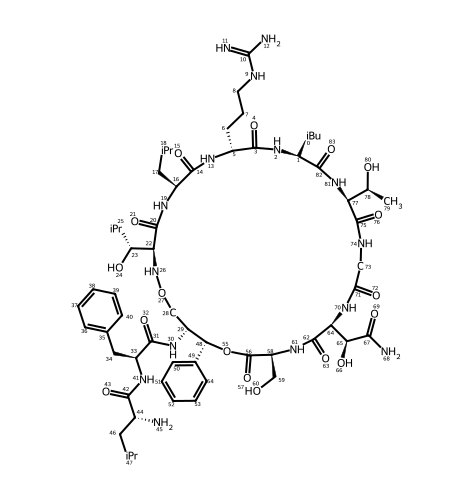 CC[C@H](C)[C@@H]1NC(=O)[C@@H](CCCNC(=N)N)NC(=O)[C@H](CC(C)C)NC(=O)[C@H]([C@H](O)C(C)C)NOC[C@@H](NC(=O)[C@H](Cc2ccccc2)NC(=O)[C@H](N)CC(C)C)[C@@H](c2ccccc2)OC(=O)[C@H](CO)NC(=O)[C@H]([C@H](O)C(N)=O)NC(=O)CNC(=O)[C@H]([C@H](C)O)NC1=O